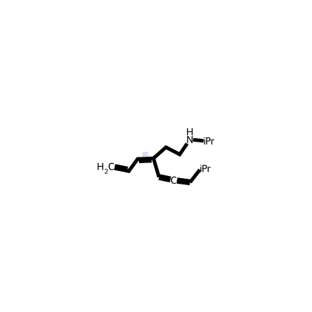 C=C/C=C(\C=C=CC(C)C)CCNC(C)C